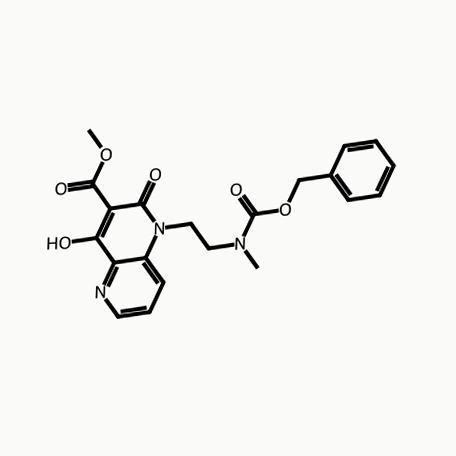 COC(=O)c1c(O)c2ncccc2n(CCN(C)C(=O)OCc2ccccc2)c1=O